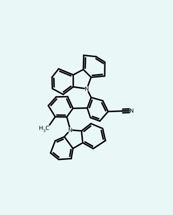 Cc1cccc(-c2ccc(C#N)cc2-n2c3ccccc3c3ccccc32)c1-n1c2ccccc2c2ccccc21